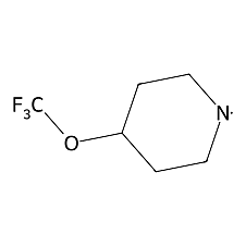 FC(F)(F)OC1CC[N]CC1